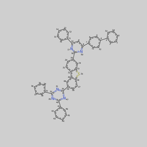 c1ccc(-c2ccc(-c3cc(-c4ccccc4)nc(-c4ccc5c(c4)sc4ccc(-c6nc(-c7ccccc7)nc(-c7ccccc7)n6)cc45)n3)cc2)cc1